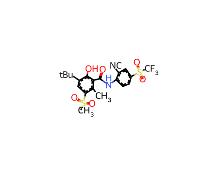 Cc1c(S(C)(=O)=O)cc(C(C)(C)C)c(O)c1C(=O)Nc1ccc(S(=O)(=O)C(F)(F)F)cc1C#N